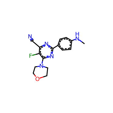 CNc1ccc(-c2nc(C#N)c(F)c(N3CCOCC3)n2)cc1